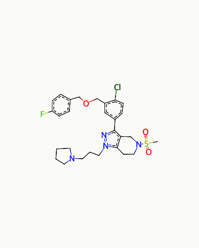 CS(=O)(=O)N1CCc2c(c(-c3ccc(Cl)c(COCc4ccc(F)cc4)c3)nn2CCCN2CCCC2)C1